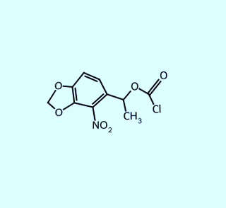 CC(OC(=O)Cl)c1ccc2c(c1[N+](=O)[O-])OCO2